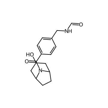 O=CNCc1ccc(C(=O)N2C3CCC2CC(O)C3)cc1